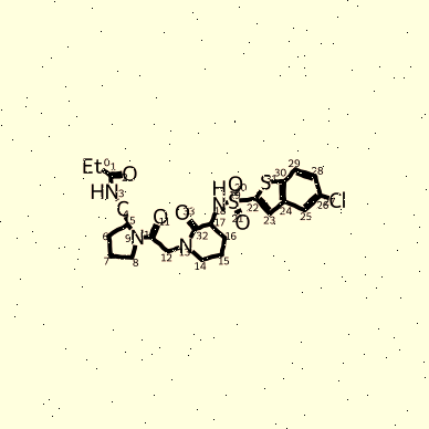 CCC(=O)NC[C@@H]1CCCN1C(=O)CN1CCCC(NS(=O)(=O)c2cc3cc(Cl)ccc3s2)C1=O